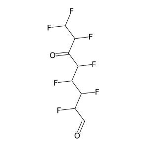 O=CC(F)C(F)C(F)C(F)C(=O)C(F)C(F)F